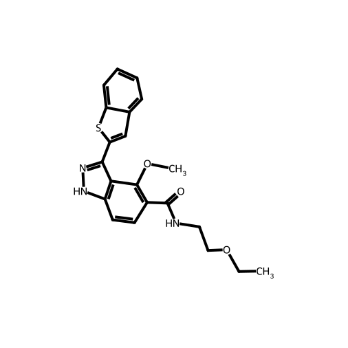 CCOCCNC(=O)c1ccc2[nH]nc(-c3cc4ccccc4s3)c2c1OC